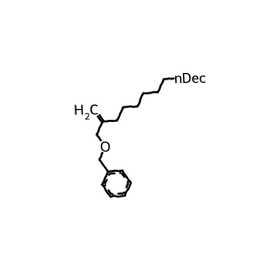 C=C(CCCCCCCCCCCCCCCC)COCc1ccccc1